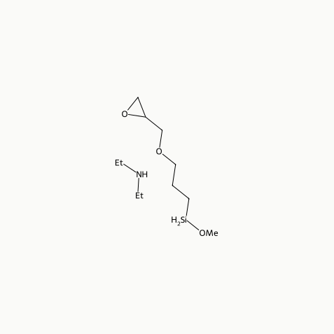 CCNCC.CO[SiH2]CCCOCC1CO1